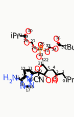 CC(C)CC(=O)C[C@H]1[C@@H](O)[C@](C#N)(c2ccc3c(N)ncnn23)O[C@@H]1COP(=O)(OCOC(=O)C(C)C)OCOC(=O)C(C)(C)C